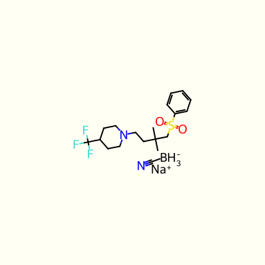 CC(C)(CCN1CCC(C(F)(F)F)CC1)CS(=O)(=O)c1ccccc1.[BH3-]C#N.[Na+]